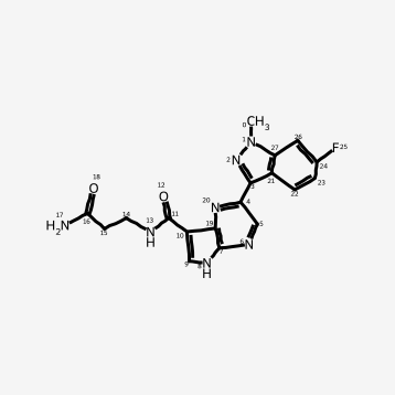 Cn1nc(-c2cnc3[nH]cc(C(=O)NCCC(N)=O)c3n2)c2ccc(F)cc21